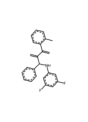 C=C(C(=C)C(Nc1cc(F)cc(F)c1)c1ccccc1)c1ccccc1C